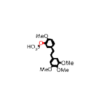 COc1ccc(CCc2cc(OC)c(OC)c(OC)c2)cc1OS(=O)(=O)O